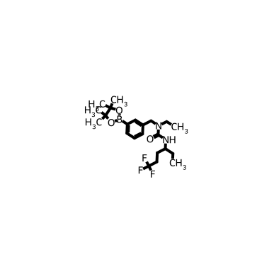 CCC(CCC(F)(F)F)NC(=O)N(CC)Cc1cccc(B2OC(C)(C)C(C)(C)O2)c1